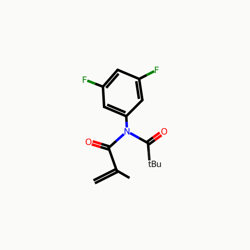 C=C(C)C(=O)N(C(=O)C(C)(C)C)c1cc(F)cc(F)c1